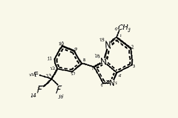 Cc1ccc2ncc(-c3cccc(C(F)(F)F)c3)n2n1